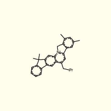 Cc1cc(C)c2c(c1)-c1cc(CC(C)C)c3cc4c(cc3[n+]1C2)C(C)(C)c1ccccc1-4